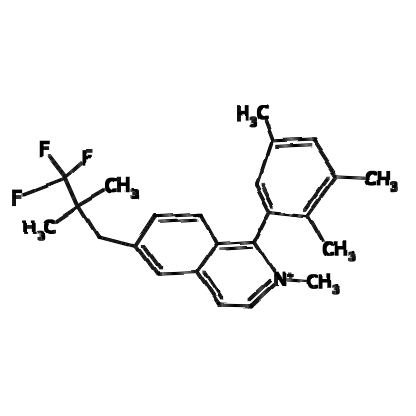 Cc1cc(C)c(C)c(-c2c3ccc(CC(C)(C)C(F)(F)F)cc3cc[n+]2C)c1